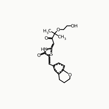 CC(C)(OCCO)C(=O)/C=c1\[nH]c(=O)/c(=C/c2ccc3c(c2)CCCO3)s1